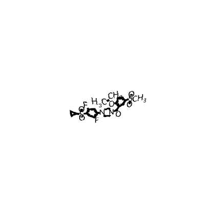 CC(C)Oc1ccc(S(C)(=O)=O)cc1C(=O)N1CCN(c2cc(F)c(S(=O)(=O)C3CC3)cc2F)CC1